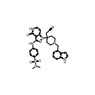 CN(C)S(=O)(=O)c1ccc(Nc2nn(C3(CC#N)CCN(Cc4cccc5[nH]ccc45)CC3)c3cc[nH]c(=O)c23)cc1